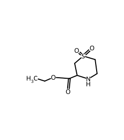 CCOC(=O)C1CS(=O)(=O)CCN1